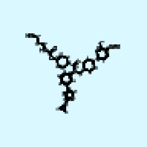 COc1ccc([C@H]2CC[C@H](CN(c3cccc(-c4coc(C5CC5)n4)c3)C(=O)[C@H]3CC[C@H](OC(=O)NCCCO)CC3)CC2)nc1C